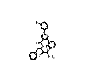 NC(=O)C(=O)C(Cc1ccccc1)NC(=O)c1cn(-c2cccc(F)c2)nc1-c1ccccc1